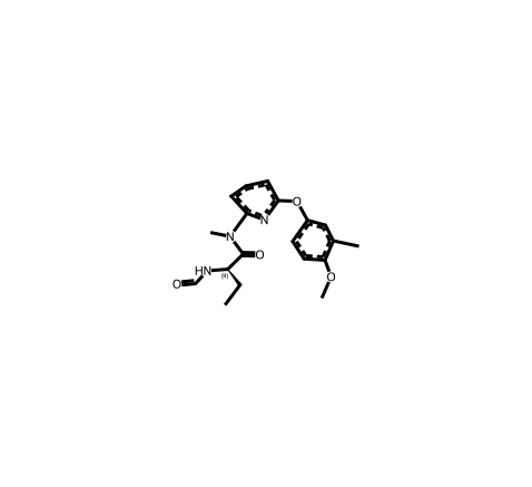 CC[C@@H](NC=O)C(=O)N(C)c1cccc(Oc2ccc(OC)c(C)c2)n1